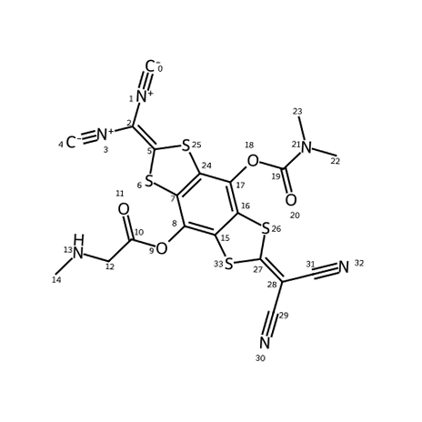 [C-]#[N+]C([N+]#[C-])=C1Sc2c(OC(=O)CNC)c3c(c(OC(=O)N(C)C)c2S1)SC(=C(C#N)C#N)S3